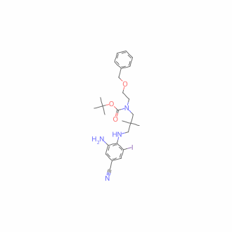 CC(C)(CNc1c(N)cc(C#N)cc1I)CN(CCOCc1ccccc1)C(=O)OC(C)(C)C